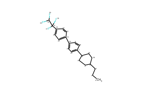 CCCC1CCC(c2ccc(-c3ccc(C(F)(F)C(F)F)cc3)cc2)CC1